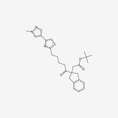 Cn1cc(-c2csc(CCCCC(=O)C3(CC(=O)OC(C)(C)C)Cc4ccccc4C3)n2)cn1